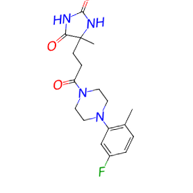 Cc1ccc(F)cc1N1CCN(C(=O)CCC2(C)NC(=O)NC2=O)CC1